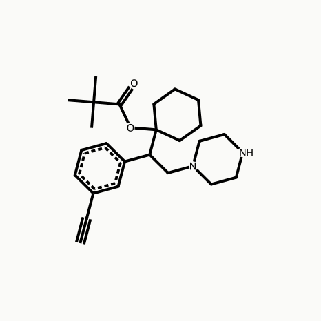 C#Cc1cccc(C(CN2CCNCC2)C2(OC(=O)C(C)(C)C)CCCCC2)c1